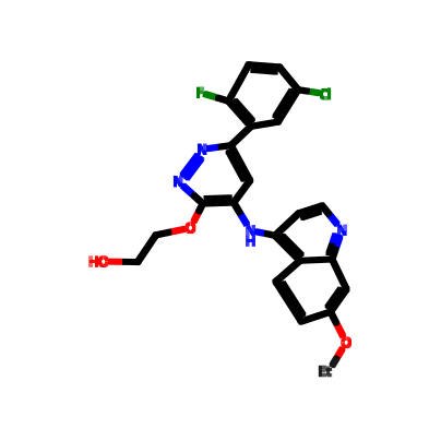 CCOc1ccc2c(Nc3cc(-c4cc(Cl)ccc4F)nnc3OCCO)ccnc2c1